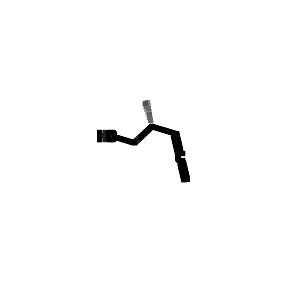 C=C=C[C@@H](C)CO